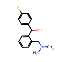 CN(C)Cc1ccccc1C(O)c1ccc(F)cc1